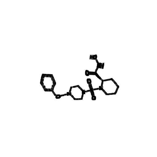 O=C(NO)[C@H]1CCCCN1S(=O)(=O)N1CCN(Oc2ccccc2)CC1